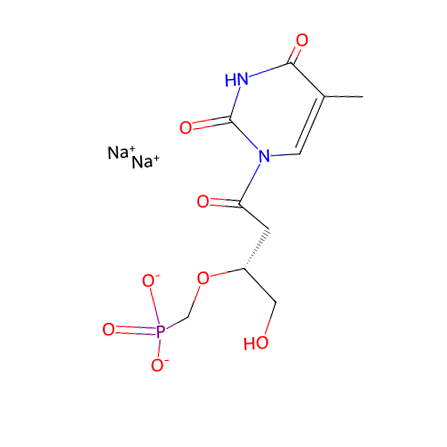 Cc1cn(C(=O)C[C@H](CO)OCP(=O)([O-])[O-])c(=O)[nH]c1=O.[Na+].[Na+]